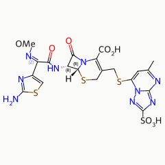 CO/N=C(\C(=O)N[C@@H]1C(=O)N2C(C(=O)O)=C(CSc3cc(C)nc4nc(S(=O)(=O)O)nn34)CS[C@H]12)c1csc(N)n1